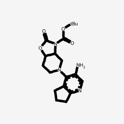 CC(C)(C)OC(=O)N1C(=O)OC2CCN(c3c(N)cnc4c3CCC4)CC21